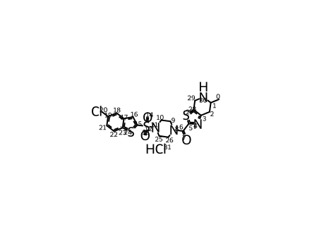 CC1Cc2nc(C(=O)N3CCN(S(=O)(=O)c4cc5cc(Cl)ccc5s4)CC3)sc2CN1.Cl